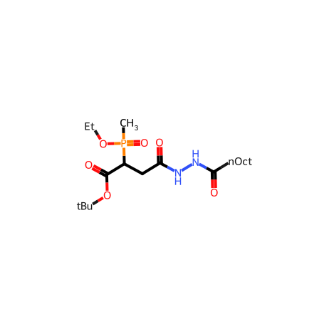 CCCCCCCCC(=O)NNC(=O)CC(C(=O)OC(C)(C)C)P(C)(=O)OCC